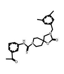 CC(=O)c1cccc(NC(=S)N2CCC3(CC2)CN(Cc2cc(C)cc(C)c2)C(=O)O3)c1